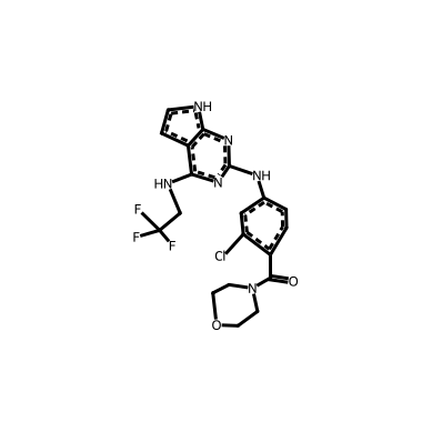 O=C(c1ccc(Nc2nc(NCC(F)(F)F)c3cc[nH]c3n2)cc1Cl)N1CCOCC1